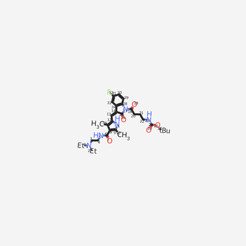 CCN(CC)CCNC(=O)c1c(C)[nH]c(/C=C2\C(=O)N(C(=O)CCCNC(=O)OC(C)(C)C)c3ccc(F)cc32)c1C